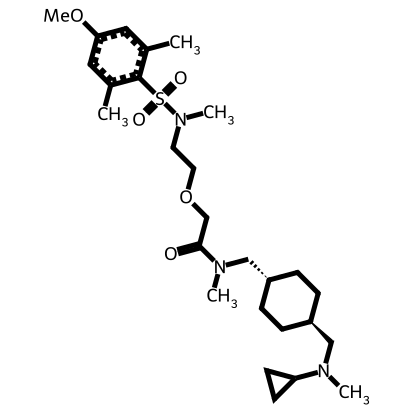 COc1cc(C)c(S(=O)(=O)N(C)CCOCC(=O)N(C)C[C@H]2CC[C@H](CN(C)C3CC3)CC2)c(C)c1